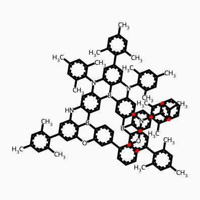 Cc1cc(C)c(-c2cc3c4c(c2)Oc2cc(-c5ccccc5)ccc2B4c2cc4c(cc2N3)N(c2c(C)cc(C)cc2C)c2cc(-c3c(C)cc(C)cc3C)cc3c2B4c2cc4c(cc2N3c2c(C)cc(C)cc2C)N(c2c(C)cc(C)cc2C)c2cc(-c3c(C)cc(C)cc3C)cc3c2B4c2ccc(-c4ccccc4)cc2O3)c(C)c1